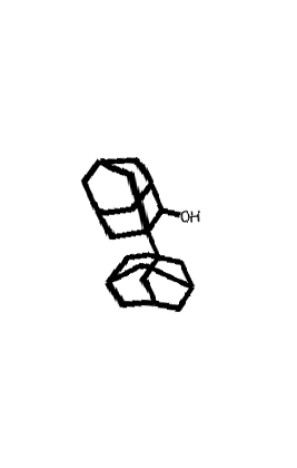 OC1C2CC3CC(C2)CC1(C12CC4CC(CC(C4)C1)C2)C3